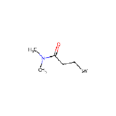 CN(C)C(=O)C[CH2][Sn]